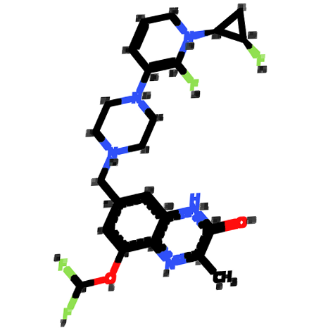 Cc1nc2c(OC(F)F)cc(CN3CCN(C4=C(F)N([C@H]5C[C@H]5F)CC=C4)CC3)cc2[nH]c1=O